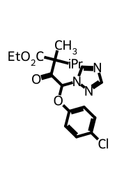 CCOC(=O)C(C)(C(=O)C(Oc1ccc(Cl)cc1)n1cncn1)C(C)C